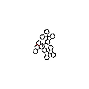 c1ccc(N(c2ccc3c(c2)C(c2ccccc2)(c2ccccc2)c2ccccc2-3)c2cc3c(cc2-c2cccc4c2CCCC4)-c2ccccc2C32c3ccccc3-c3ccccc32)cc1